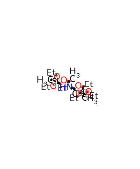 CCO[Si](C)(OCC)C(CC)OC(C)NC(C)OC(CC)[Si](C)(OCC)OCC